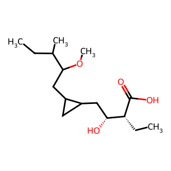 CCC(C)C(CC1CC1C[C@@H](O)[C@@H](CC)C(=O)O)OC